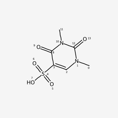 Cn1cc(S(=O)(=O)O)c(=O)n(C)c1=O